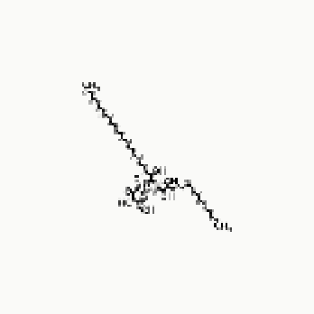 CCCCCCCCC/C=C\CCC[C@@H](O)[C@@H](O)[C@H](CO[C@@H]1O[C@H](CO)[C@@H](O)C(O)C1O)NC(=O)[C@H](O)CCCCCCCCCCCCCCCCCCCCCC